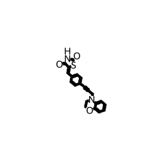 O=C1NC(=O)C(=Cc2ccc(C#CCN3CCOc4ccccc43)cc2)S1